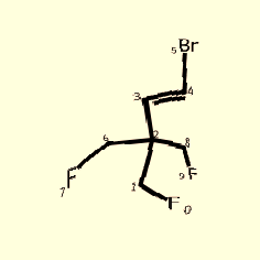 FCC(/C=C/Br)(CF)CF